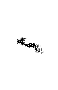 CC(C)CCCC(C)C1CCC2C3CCC4CC(OCCOC(=O)c5cc([N+](=O)[O-])cc([N+](=O)[O-])c5)CCC4(C)C3CCC12C